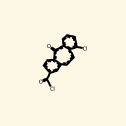 O=C(Cl)c1ccc2c(=O)c3cccc(Cl)c3ccc2c1